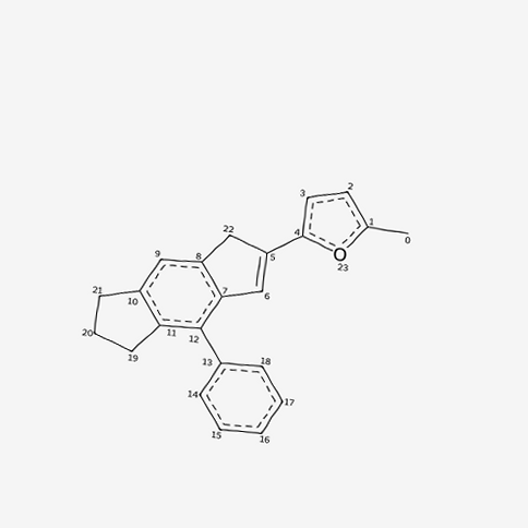 Cc1ccc(C2=Cc3c(cc4c(c3-c3ccccc3)CCC4)C2)o1